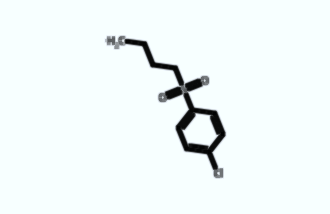 [CH2]CCCS(=O)(=O)c1ccc(Cl)cc1